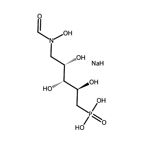 O=CN(O)C[C@H](O)[C@@H](O)[C@@H](O)CP(=O)(O)O.[NaH]